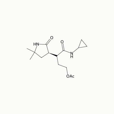 CC(=O)OCCC(C(=O)NC1CC1)[C@H]1CC(C)(C)NC1=O